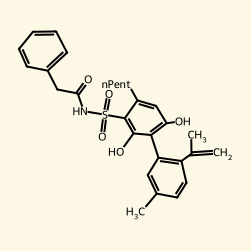 C=C(C)c1ccc(C)cc1-c1c(O)cc(CCCCC)c(S(=O)(=O)NC(=O)Cc2ccccc2)c1O